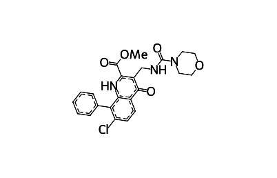 COC(=O)c1[nH]c2c(-c3ccccc3)c(Cl)ccc2c(=O)c1CNC(=O)N1CCOCC1